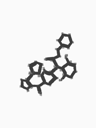 O=C(c1ccc(N(C(=O)CCc2ccccc2)c2c(F)cccc2F)nc1)c1sccc1-n1cccc1